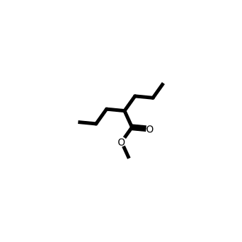 CCCC(CCC)C(=O)OC